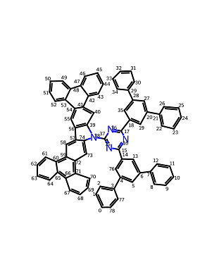 c1ccc(-c2cc(-c3ccccc3)cc(-c3nc(-c4cc(-c5ccccc5)cc(-c5ccccc5)c4)nc(-n4c5cc6c7ccccc7c7ccccc7c6cc5c5cc6c7ccccc7c7ccccc7c6cc54)n3)c2)cc1